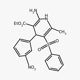 CCOC(=O)C1=C(N)NC(C)=C(S(=O)(=O)c2ccccc2)C1c1cccc([N+](=O)[O-])c1